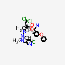 C/C(=N\C#N)N(C)Cc1ccc(Cl)nc1.CC1(C)[C@H](C(=O)OC(C#N)c2cccc(Oc3ccccc3)c2)[C@@H]1C=C(Cl)Cl